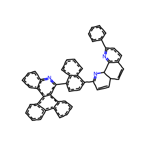 C1=CC2C=Cc3ccc(-c4ccccc4)nc3C2N=C1c1ccc(-c2nc3ccccc3c3c4ccccc4c4ccccc4c23)c2ccccc12